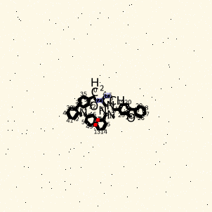 C=c1/c(=C(\C=C/C)c2nc(-c3ccccc3)nc(-c3ccc4c(c3)oc3ccccc34)n2)oc2c1ccc1c3ccccc3n(-c3ccccc3)c12